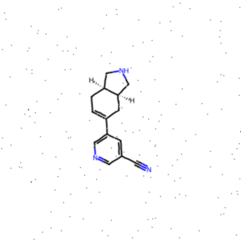 N#Cc1cncc(C2=CC[C@H]3CNC[C@H]3C2)c1